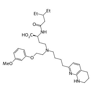 CCC(CC)CC(=O)N[C@@H](CCN(CCCCc1ccc2c(n1)NCCC2)CCOc1cccc(OC)c1)C(=O)O